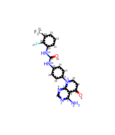 Nc1ncnc2c1c(=O)ccn2-c1ccc(NC(=O)Nc2cccc(C(F)(F)F)c2F)cc1